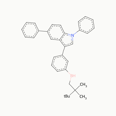 CC(C)(C)C(C)(C)CBc1cccc(-c2cn(-c3ccccc3)c3ccc(-c4ccccc4)cc23)c1